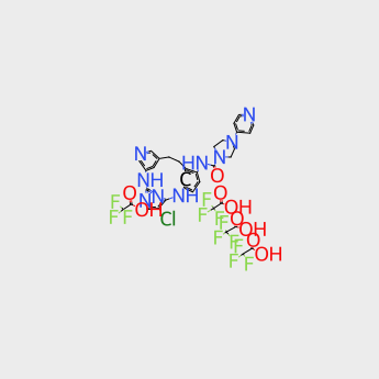 O=C(Nc1ccc2cc1CCc1cncc(c1)Nc1ncc(Cl)c(n1)N2)N1CCN(c2ccncc2)CC1.O=C(O)C(F)(F)F.O=C(O)C(F)(F)F.O=C(O)C(F)(F)F.O=C(O)C(F)(F)F